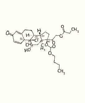 CCCCOC(=O)O[C@]1(C(=O)COC(=O)CC)CC[C@H]2[C@@H]3CCC4=CC(=O)C=C[C@]4(C)[C@@]3(Cl)C(O)C[C@@]21C